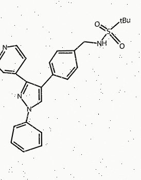 CC(C)(C)S(=O)(=O)NCc1ccc(-c2cn(-c3ccccc3)nc2-c2ccncc2)cc1